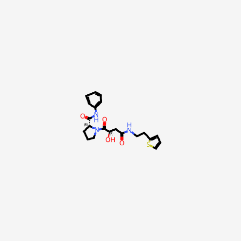 O=C(C[C@@H](O)C(=O)N1CCC[C@@H]1C(=O)Nc1ccccc1)NCCc1cccs1